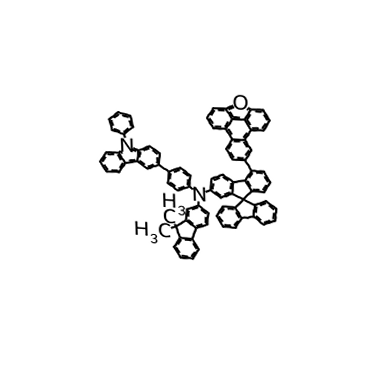 CC1(C)c2ccccc2-c2ccc(N(c3ccc(-c4ccc5c(c4)c4ccccc4n5-c4ccccc4)cc3)c3ccc4c(c3)C3(c5ccccc5-c5ccccc53)c3cccc(-c5ccc6c(c5)c5cccc7oc8cccc6c8c75)c3-4)cc21